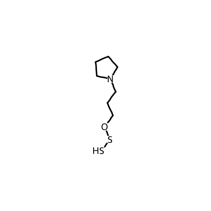 SSOCCCN1CCCC1